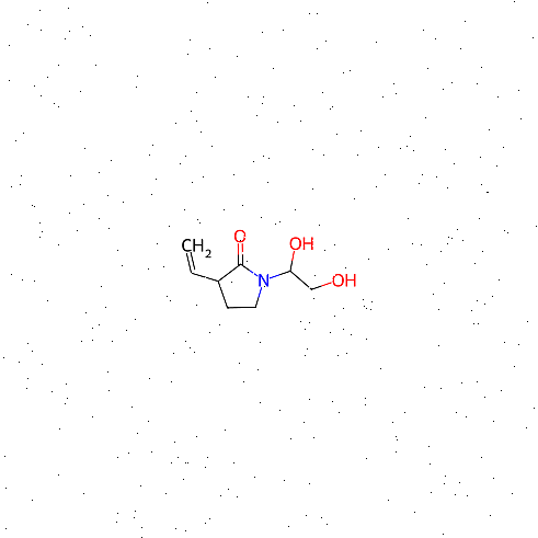 C=CC1CCN(C(O)CO)C1=O